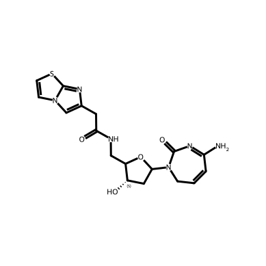 NC1=NC(=O)N(C2C[C@H](O)C(CNC(=O)Cc3cn4ccsc4n3)O2)CC=C1